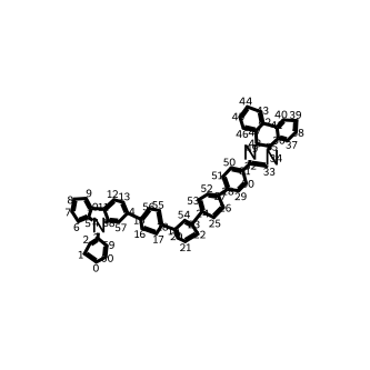 c1ccc(-n2c3ccccc3c3ccc(-c4ccc(-c5cccc(-c6ccc(-c7ccc(-c8cnc9c%10ccccc%10c%10ccccc%10c9n8)cc7)cc6)c5)cc4)cc32)cc1